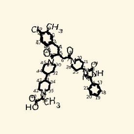 Cc1cc(CC(CC(=O)N2CCC(n3nc(-c4ccccc4)[nH]c3=O)CC2)C(=O)N2CCC(C3CCN(C(C)C(=O)O)CC3)CC2)ccc1Cl